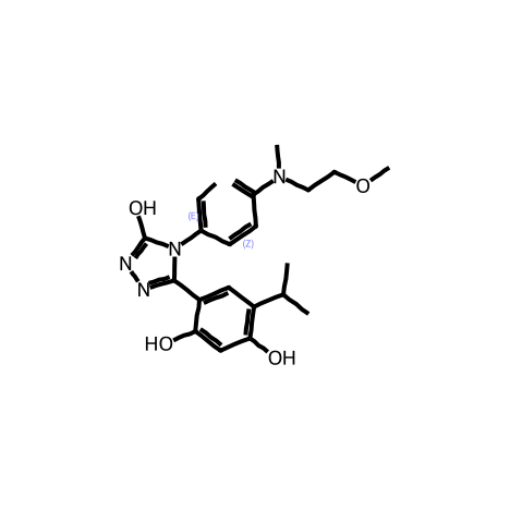 C=C(/C=C\C(=C/C)n1c(O)nnc1-c1cc(C(C)C)c(O)cc1O)N(C)CCOC